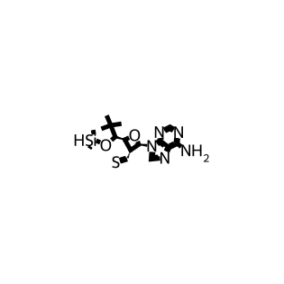 C[SiH](C)OC([C@H]1O[C@@H](n2cnc3c(N)ncnc32)[C@@H]1C=S)C(C)(C)C